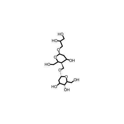 OCC(O)CO[C@H]1CC(O)[C@@H](CO[C@H]2CC(O)[C@@H](O)C(CO)O2)C(CO)O1